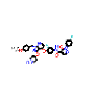 COc1ccc(Cn2nc(OC3CCNCC3)c3c(Oc4ccc(NC(=O)c5ccnn(-c6ccc(F)cc6)c5=O)cc4F)ccnc32)cc1